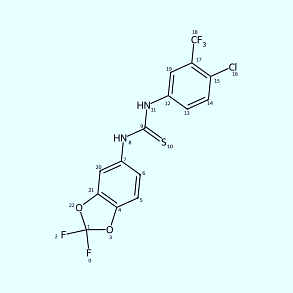 FC1(F)Oc2ccc(NC(=S)Nc3ccc(Cl)c(C(F)(F)F)c3)cc2O1